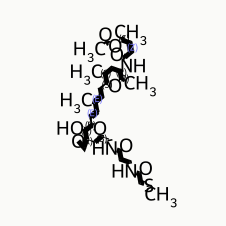 CSCC(=O)NCCC(=O)NC[C@@H]1C[C@@]2(CO2)[C@H](O)[C@@H](/C=C/C(C)=C/C[C@@H]2O[C@H](C)[C@H](NC(=O)/C=C\[C@H](C)OC(C)=O)C[C@@H]2C)O1